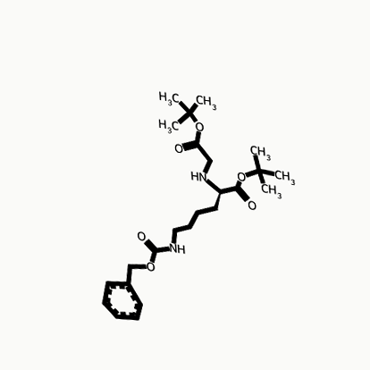 CC(C)(C)OC(=O)CN[C@H](CCCCNC(=O)OCc1ccccc1)C(=O)OC(C)(C)C